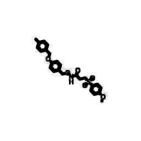 COc1ccc(S(=O)(=O)CCC(=O)NOCc2ccc(OCc3ccc(C)cc3)cc2)cc1